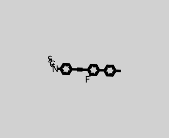 Cc1ccc(-c2ccc(C#Cc3ccc(N=C=S)cc3)c(F)c2)cc1